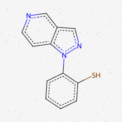 Sc1ccccc1-n1ncc2cnccc21